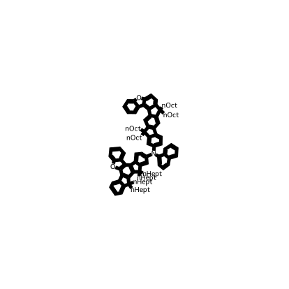 CCCCCCCCC1(CCCCCCCC)c2cc(N(c3ccc4c(c3)C(CCCCCCC)(CCCCCCC)c3c5c(c6oc7ccccc7c6c3-4)-c3ccccc3C5(CCCCCCC)CCCCCCC)c3cccc4ccccc34)ccc2-c2cc3c(cc21)-c1c(ccc2oc4ccccc4c12)C3(CCCCCCCC)CCCCCCCC